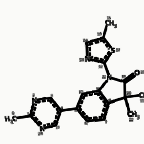 Cc1ncc(-c2ccc3c(c2)N(c2ncc(C)s2)C(=O)C3(C)C)cn1